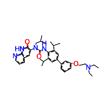 CCN(CC)CCOc1cccc(-c2cc(C(C)C)c(NC(=O)N(CC(C)C)c3cc4cccnc4[nH]c3=O)c(C(C)C)c2)c1